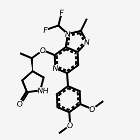 COc1ccc(-c2cc3nc(C)n(C(F)F)c3c(OC(C)[C@H]3CNC(=O)C3)n2)cc1OC